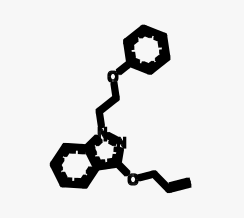 C=CCOc1nn(CCOc2ccccc2)c2ccccc12